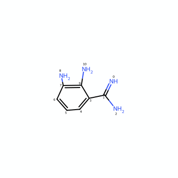 N=C(N)c1cccc(N)c1N